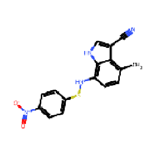 Cc1ccc(NSc2ccc([N+](=O)[O-])cc2)c2[nH]cc(C#N)c12